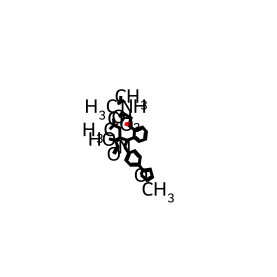 Cc1ccc(-c2ccc(N3C(=O)C(O)=C(C(=O)C(C)C)C3c3ccccc3CCC(=O)NC(C)C)cc2)o1